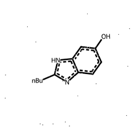 CCCCc1nc2ccc(O)cc2[nH]1